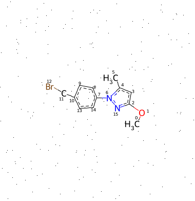 COc1cc(C)n(-c2ccc(CBr)cc2)n1